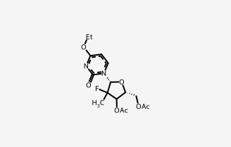 CCOc1ccn([C@@H]2O[C@H](COC(C)=O)C(OC(C)=O)C2(C)F)c(=O)n1